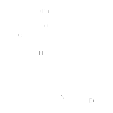 CCC1CC(C(C)NC(=O)OC(C)(C)C)CN1